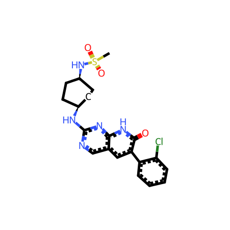 CS(=O)(=O)N[C@H]1CC[C@@H](Nc2ncc3cc(-c4ccccc4Cl)c(=O)[nH]c3n2)CC1